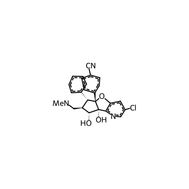 CNC[C@@H]1[C@@H](O)[C@]2(O)c3ncc(Cl)cc3O[C@@]2(c2ccc(C#N)cc2)[C@H]1c1ccccc1